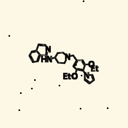 CCOc1cc(CN2CCC(Nc3nccc4ccccc34)CC2)cc(OCC)c1-n1cccc1